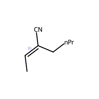 C/C=C(/C#N)CCCC